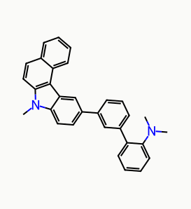 CN(C)c1ccccc1-c1cccc(-c2ccc3c(c2)c2c4ccccc4ccc2n3C)c1